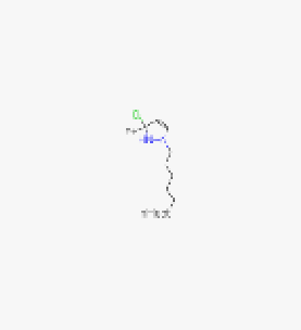 CCCCCCCCCCCCN1C=CC(Cl)(CC)N1